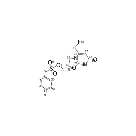 Cc1ccc(CS(=O)(=O)OC[C@@H]2Cn3c(CF)cc(=O)nc3O2)cc1